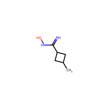 CC1CC(C(=N)NO)C1